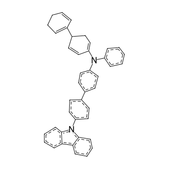 C1=CC(C2C=CC(N(c3ccccc3)c3ccc(-c4ccc(-n5c6ccccc6c6ccccc65)cc4)cc3)=CC2)=CCC1